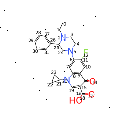 CCN1CCN(c2cc3c(cc2F)c(=O)c(C(=O)O)cn3C2CC2)CC1c1ccccc1